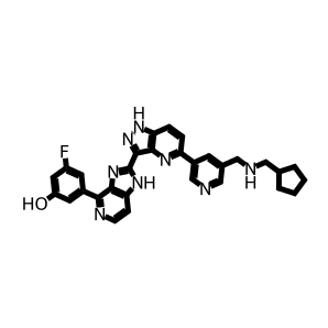 Oc1cc(F)cc(-c2nccc3[nH]c(-c4n[nH]c5ccc(-c6cncc(CNCC7CCCC7)c6)nc45)nc23)c1